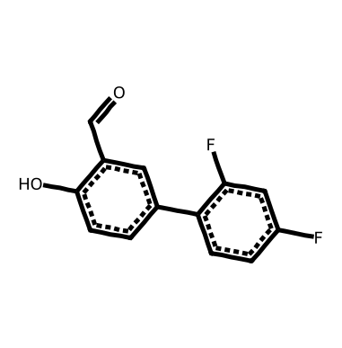 O=Cc1cc(-c2ccc(F)cc2F)ccc1O